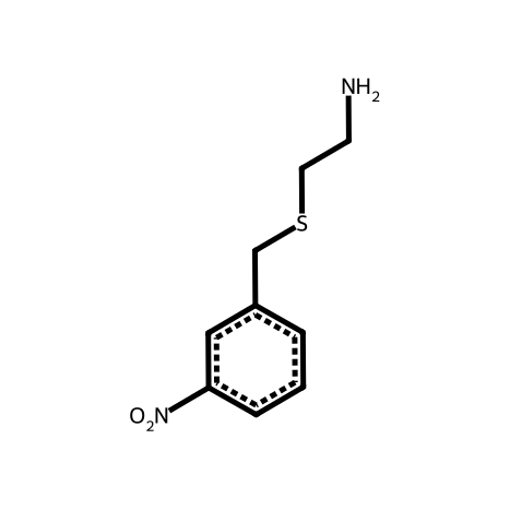 NCCSCc1cccc([N+](=O)[O-])c1